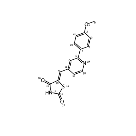 COc1ccc(-c2cc(/C=C3\SC(=O)NC3=O)ccn2)cc1